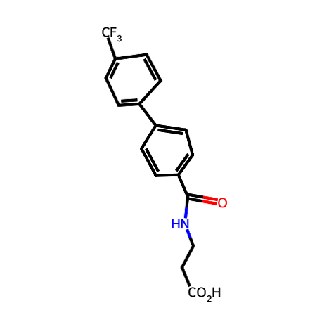 O=C(O)CCNC(=O)c1ccc(-c2ccc(C(F)(F)F)cc2)cc1